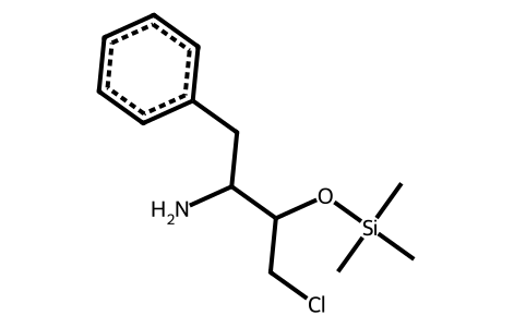 C[Si](C)(C)OC(CCl)C(N)Cc1ccccc1